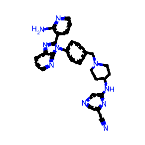 N#Cc1cncc(NC2CCN(Cc3ccc(-n4c(-c5cccnc5N)nc5cccnc54)cc3)CC2)n1